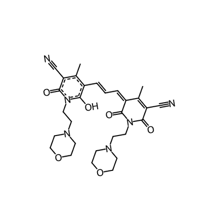 CC1=C(C#N)C(=O)N(CCN2CCOCC2)C(=O)C1=CC=Cc1c(C)c(C#N)c(=O)n(CCN2CCOCC2)c1O